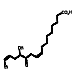 CC/C=C\CC(O)C(=O)C/C=C\CCCCCCCC(=O)O